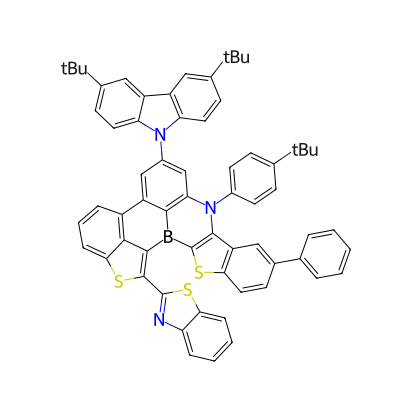 CC(C)(C)c1ccc(N2c3cc(-n4c5ccc(C(C)(C)C)cc5c5cc(C(C)(C)C)ccc54)cc4c3B(c3sc5ccc(-c6ccccc6)cc5c32)c2c(-c3nc5ccccc5s3)sc3cccc-4c23)cc1